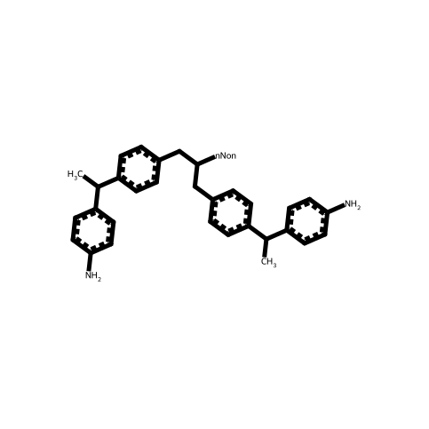 CCCCCCCCCC(Cc1ccc(C(C)c2ccc(N)cc2)cc1)Cc1ccc(C(C)c2ccc(N)cc2)cc1